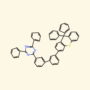 c1ccc(-c2nc(-c3ccccc3)nc(-c3cccc(-c4cccc(-c5ccc6c(c5)Sc5ccccc5C6(c5ccccc5)c5ccccc5)c4)c3)n2)cc1